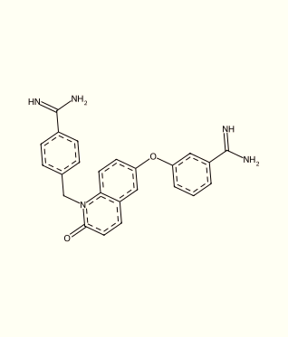 N=C(N)c1ccc(Cn2c(=O)ccc3cc(Oc4cccc(C(=N)N)c4)ccc32)cc1